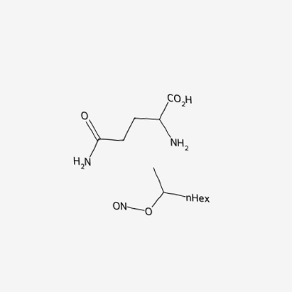 CCCCCCC(C)ON=O.NC(=O)CCC(N)C(=O)O